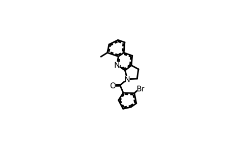 Cc1cccc2cc3c(nc12)N(C(=O)c1ccccc1Br)CC3